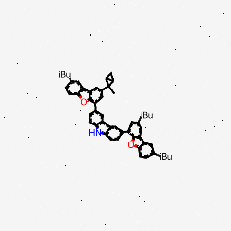 CCC(C)c1ccc2oc3c(-c4ccc5[nH]c6ccc(-c7cc(C8(C)C9CC98)cc8c7oc7ccc(C(C)CC)cc78)cc6c5c4)cc(C(C)CC)cc3c2c1